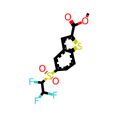 COC(=O)c1cc2cc(S(=O)(=O)C(F)C(F)F)ccc2s1